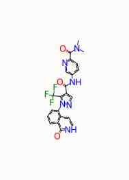 CN(C)C(=O)c1ccc(NC(=O)c2cnn(-c3cccc4c(=O)[nH]ccc34)c2C(F)(F)F)cn1